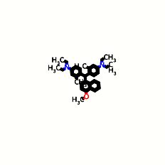 CCN(CC)c1ccc(C(c2ccc(N(CC)CC)cc2C)c2ccc(OC)c3ccccc23)c(C)c1